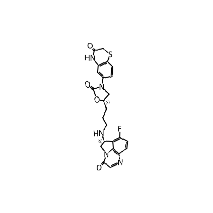 O=C1CSc2ccc(N3C[C@@H](CCCN[C@@H]4Cn5c(=O)cnc6ccc(F)c4c65)OC3=O)cc2N1